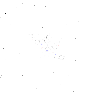 C[C@@H]1Cc2ccccc2CN1C(=O)c1cc2c(cc1-c1cc(C(=O)N(c3ccc(O[Si](C)(C)C(C)(C)C)cc3)c3ccc4c(ccn4C)c3)c3n1CCCC3)OCO2